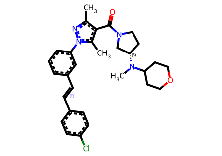 Cc1nn(-c2cccc(/C=C/c3ccc(Cl)cc3)c2)c(C)c1C(=O)N1CC[C@H](N(C)C2CCOCC2)C1